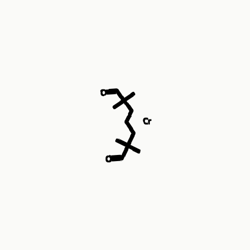 CC(C)(C=O)CCCC(C)(C)C=O.[Cr]